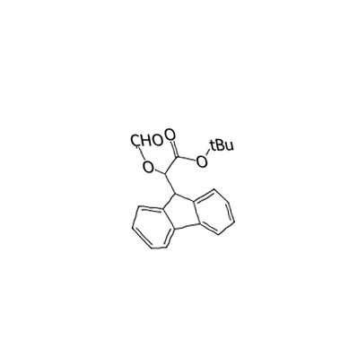 CC(C)(C)OC(=O)C(O[C]=O)C1c2ccccc2-c2ccccc21